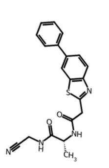 C[C@@H](NC(=O)Cc1nc2ccc(-c3ccccc3)cc2s1)C(=O)NCC#N